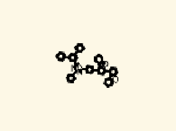 c1ccc(-c2cc(-c3ccccc3)cc(-c3nc(-c4ccccc4)nc(-c4ccc(-c5ccc(-c6cccc7oc8ccccc8c67)c6oc7ccccc7c56)cc4)n3)c2)cc1